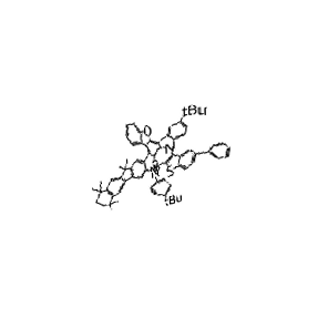 CC(C)(C)c1ccc(N2B3c4sc5ccc(-c6ccccc6)cc5c4-n4c5ccc(C(C)(C)C)cc5c5c6oc7ccccc7c6c(c3c54)-c3cc4c(cc32)-c2cc3c(cc2C4(C)C)C(C)(C)CCC3(C)C)cc1